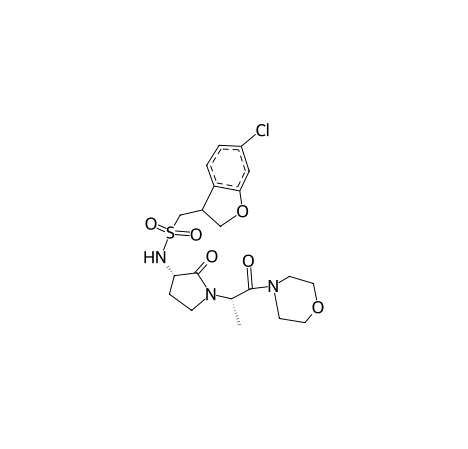 C[C@@H](C(=O)N1CCOCC1)N1CC[C@H](NS(=O)(=O)CC2COc3cc(Cl)ccc32)C1=O